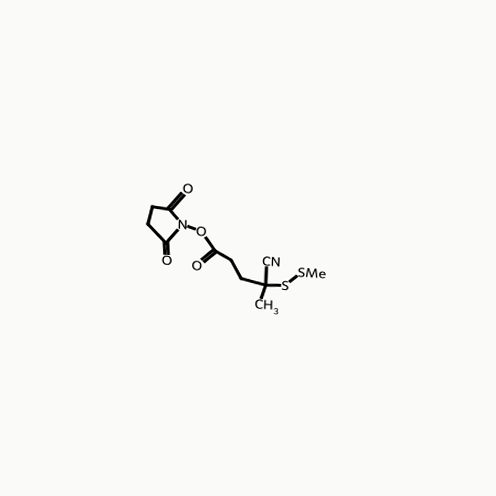 CSSC(C)(C#N)CCC(=O)ON1C(=O)CCC1=O